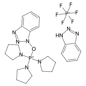 F[P-](F)(F)(F)(F)F.c1ccc2[nH]nnc2c1.c1ccc2c(c1)nnn2O[P+](N1CCCC1)(N1CCCC1)N1CCCC1